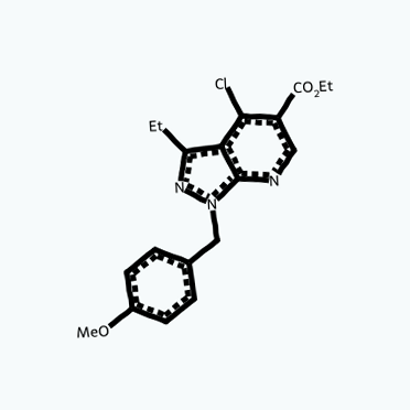 CCOC(=O)c1cnc2c(c(CC)nn2Cc2ccc(OC)cc2)c1Cl